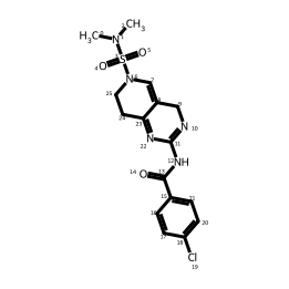 CN(C)S(=O)(=O)N1C=C2CN=C(NC(=O)c3ccc(Cl)cc3)N=C2CC1